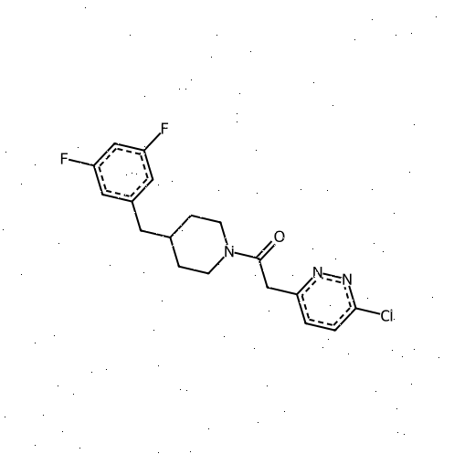 O=C(Cc1ccc(Cl)nn1)N1CCC(Cc2cc(F)cc(F)c2)CC1